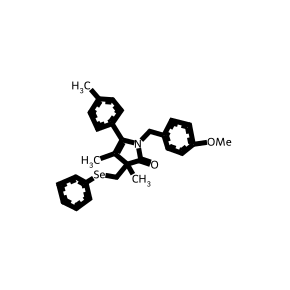 COc1ccc(CN2C(=O)C(C)(C[Se]c3ccccc3)C(C)=C2c2ccc(C)cc2)cc1